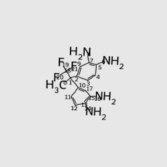 CC(c1ccc(N)c(N)c1)(c1ccc(N)c(N)c1)C(F)(F)F